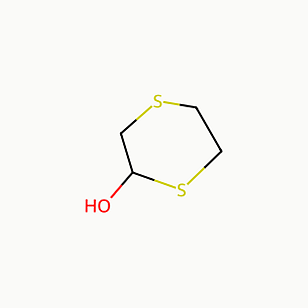 OC1CSCCS1